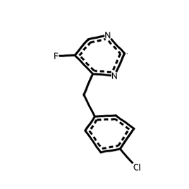 Fc1cn[c]nc1Cc1ccc(Cl)cc1